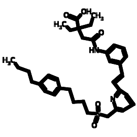 CCCCc1ccc(CCCCS(=O)(=O)Cc2cccc(C=Cc3cccc(NC(=O)CC(CC)(CC)C(=O)O)c3)n2)cc1